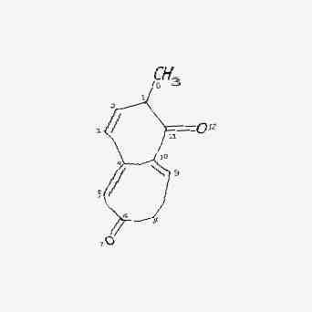 CC1C=CC2=CC(=O)CC=C2C1=O